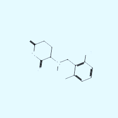 Cc1cccc(C(C)C)c1CN(C=O)C1CCC(=O)NC1=O